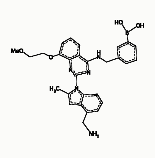 COCCOc1cccc2c(NCc3cccc(B(O)O)c3)nc(-n3c(C)cc4c(CN)cccc43)nc12